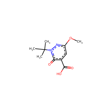 COc1cc(C(=O)O)c(=O)n(C(C)(C)C)n1